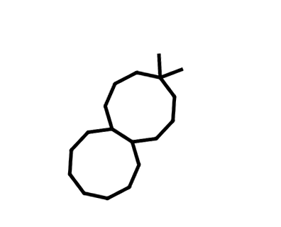 CC1(C)CCCC2CCCCCCCC2CCC1